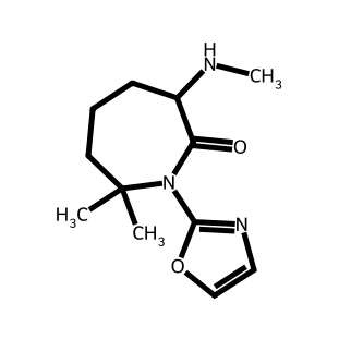 CNC1CCCC(C)(C)N(c2ncco2)C1=O